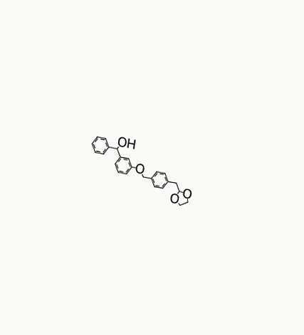 OC(c1ccccc1)c1cccc(OCc2ccc(CC3OCCO3)cc2)c1